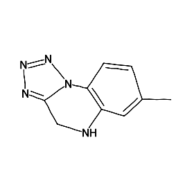 Cc1ccc2c(c1)NCc1nnnn1-2